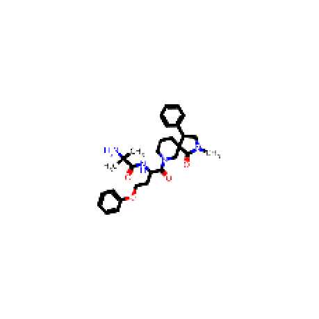 CN1CC(c2ccccc2)C2(CCCN(C(=O)C(CCOc3ccccc3)NC(=O)C(C)(C)N)C2)C1=O